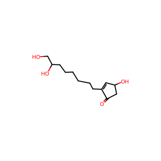 O=C1CC(O)C=C1CCCCCCC(O)CO